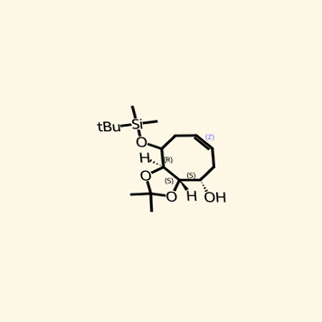 CC1(C)O[C@H]2[C@@H](O)C/C=C\CC(O[Si](C)(C)C(C)(C)C)[C@@H]2O1